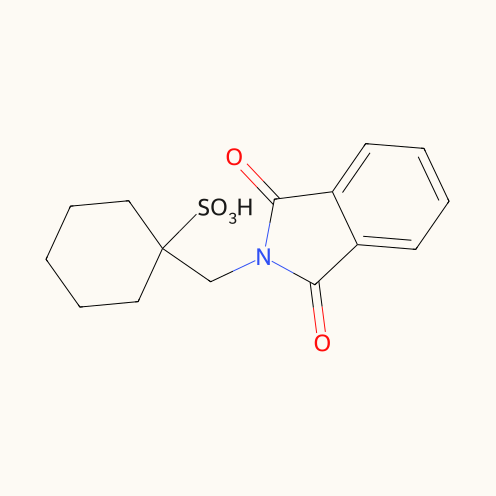 O=C1c2ccccc2C(=O)N1CC1(S(=O)(=O)O)CCCCC1